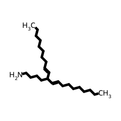 CCCCCCCCC=CC(C=CCCCCCCCC)CCCCN